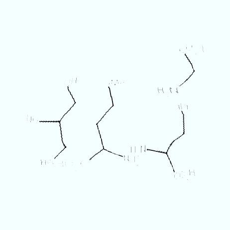 CC(C)CC(N)C(=O)O.CSCCC(N)C(=O)O.NCC(=O)O.OCC(O)CO